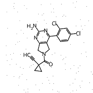 C#CC1(C(=O)N2Cc3nc(N)nc(-c4ccc(Cl)cc4Cl)c3C2)CC1